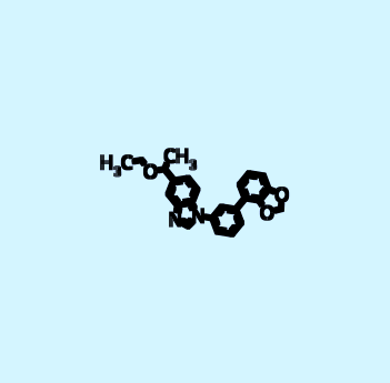 CCOC(C)c1ccc2c(c1)ncn2-c1cccc(-c2cccc3c2OCO3)c1